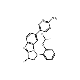 Nc1ncc(-c2ccc3nc4n(c3c2)[C@@H](c2ccccc2OC(F)F)C[C@H]4F)cn1